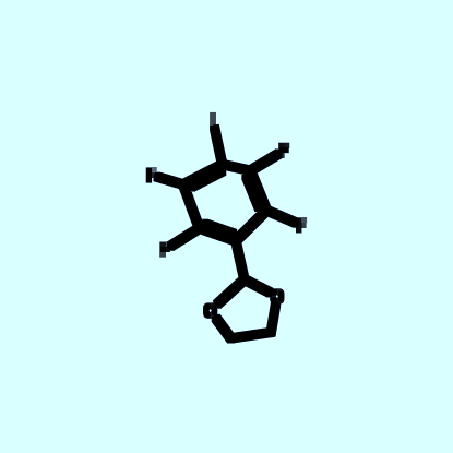 Fc1c(F)c(C2OCCO2)c(F)c(F)c1I